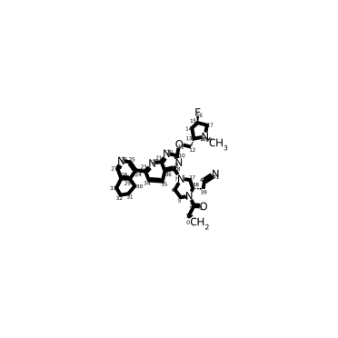 C=CC(=O)N1CCN(c2nc(OC[C@@H]3C[C@@H](F)CN3C)nc3nc(-c4cncc5c4CCCC5)ccc23)C[C@@H]1CC#N